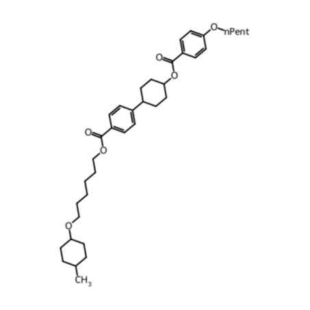 [CH2+][CH-]CCCOc1ccc(C(=O)OC2CCC(c3ccc(C(=O)OCCCCCCOC4CCC(C)CC4)cc3)CC2)cc1